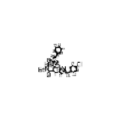 CCN(CC)C(=O)C(Cc1cnn(Cc2ccc(Cl)cc2)c1)C(=O)NS(=O)(=O)C=Cc1ccccc1